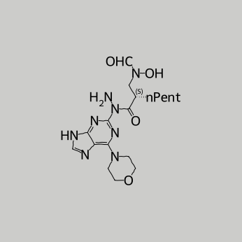 CCCCC[C@@H](CN(O)C=O)C(=O)N(N)c1nc(N2CCOCC2)c2nc[nH]c2n1